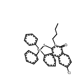 CCCCn1c([S][Sn]([c]2ccccc2)([c]2ccccc2)[c]2ccccc2)nc2cc(Cl)ccc2c1=O